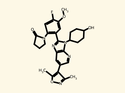 COc1cc(-c2nc3cc(-c4c(C)noc4C)cnc3n2C2CCC(O)CC2)c(N2CCCC2=O)cc1F